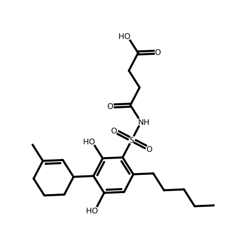 CCCCCc1cc(O)c(C2C=C(C)CCC2)c(O)c1S(=O)(=O)NC(=O)CCC(=O)O